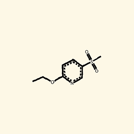 CCOc1ccc(S(C)(=O)=O)cn1